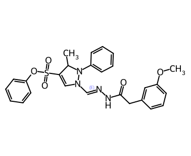 COc1cccc(CC(=O)N/N=C/N2C=C(S(=O)(=O)Oc3ccccc3)C(C)N2c2ccccc2)c1